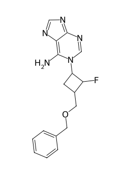 Nc1c2ncnc-2ncn1C1CC(COCc2ccccc2)C1F